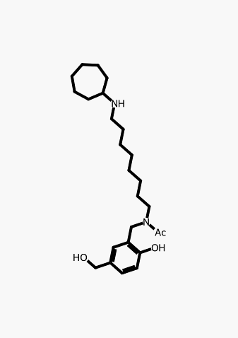 CC(=O)N(CCCCCCCCNC1CCCCCC1)Cc1cc(CO)ccc1O